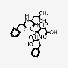 CC(C)C[C@H](NC(=O)Cc1ccccc1)C(=O)N[C@@H](CC(=O)O)C(=O)N[C@@H](Cc1ccccc1)C(=O)O